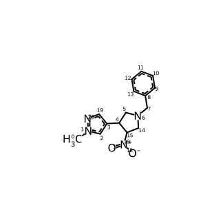 Cn1cc(C2CN(Cc3ccccc3)CC2[N+](=O)[O-])cn1